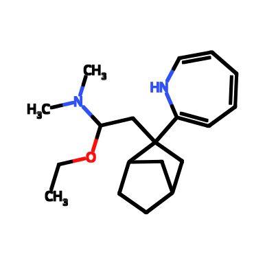 CCOC(CC1(C2=CC=CC=CN2)CC2CCC1C2)N(C)C